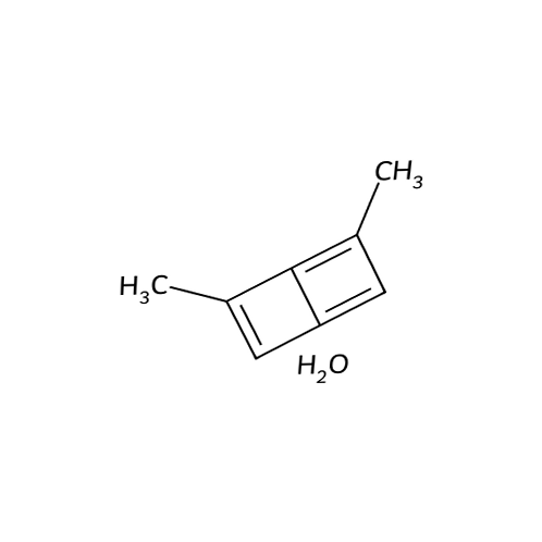 Cc1cc2cc(C)c1-2.O